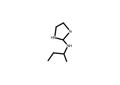 CCC(C)NC1[N]CCN1